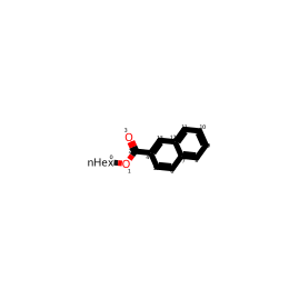 CCCCCCOC(=O)c1ccc2ccccc2c1